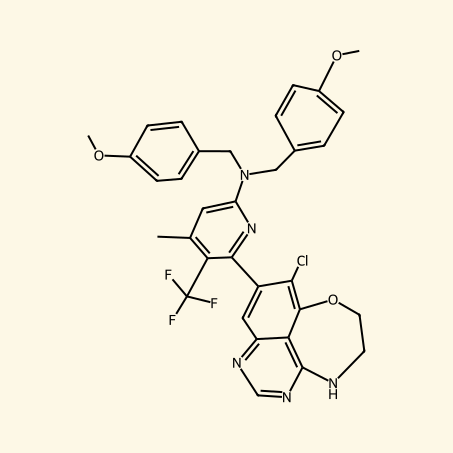 COc1ccc(CN(Cc2ccc(OC)cc2)c2cc(C)c(C(F)(F)F)c(-c3cc4ncnc5c4c(c3Cl)OCCN5)n2)cc1